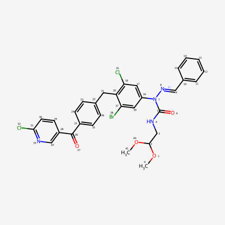 COC(CNC(=O)N(/N=C/c1ccccc1)c1cc(Cl)c(Cc2ccc(C(=O)c3ccc(Cl)nc3)cc2)c(Br)c1)OC